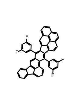 Fc1cc(F)cc(-c2c3cc4c5ccccc5c5cccc(c3c(-c3cc(F)cc(F)c3)c3c6ccc7ccc8cccc9cc(c23)c6c7c89)c54)c1